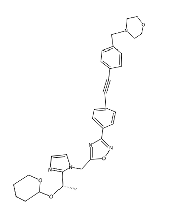 C[C@H](OC1CCCCO1)c1nccn1Cc1nc(-c2ccc(C#Cc3ccc(CN4CCOCC4)cc3)cc2)no1